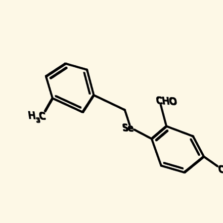 Cc1cccc(C[Se]c2ccc(C(F)(F)F)cc2C=O)c1